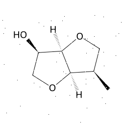 C[C@@H]1CO[C@H]2[C@@H]1OC[C@H]2O